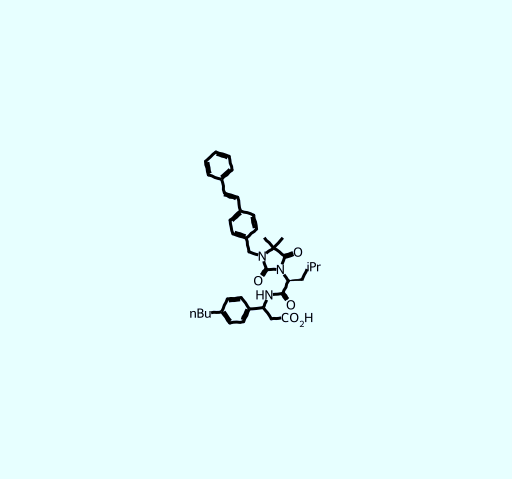 CCCCc1ccc(C(CC(=O)O)NC(=O)[C@H](CC(C)C)N2C(=O)N(Cc3ccc(/C=C/c4ccccc4)cc3)C(C)(C)C2=O)cc1